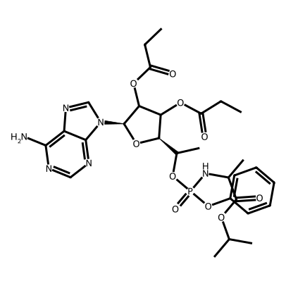 CCC(=O)OC1C(OC(=O)CC)[C@H](n2cnc3c(N)ncnc32)O[C@@H]1C(C)OP(=O)(NC(C)C(=O)OC(C)C)Oc1ccccc1